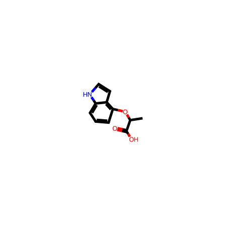 CC(Oc1cccc2[nH]ccc12)C(=O)O